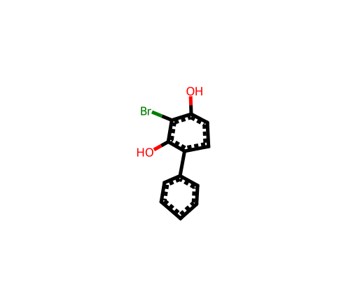 Oc1ccc(-c2ccccc2)c(O)c1Br